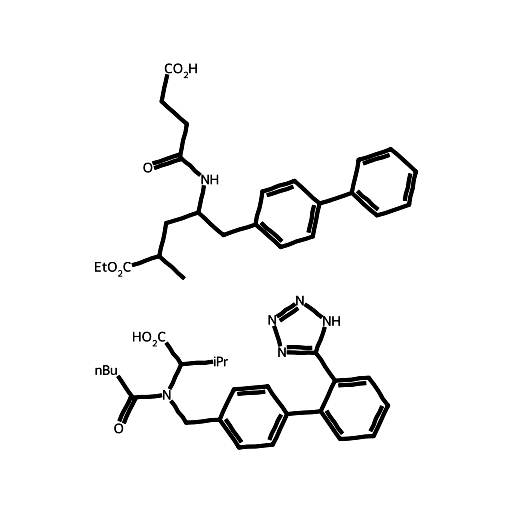 CCCCC(=O)N(Cc1ccc(-c2ccccc2-c2nnn[nH]2)cc1)C(C(=O)O)C(C)C.CCOC(=O)C(C)CC(Cc1ccc(-c2ccccc2)cc1)NC(=O)CCC(=O)O